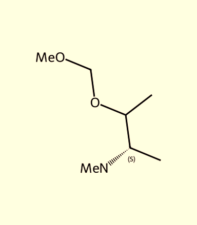 CN[C@@H](C)C(C)OCOC